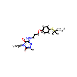 CCCCCCCn1c(=O)c(NCCCOc2ccc(SC(C)(C)C(=O)O)cc2)nn(C)c1=O